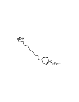 CCCCCCCCCCCCCCCCCCCc1cc[n+](CCCCC)cc1